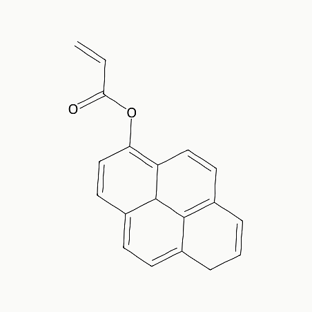 C=CC(=O)OC1=C2C=CC3=C4C(=CC=C(C=C1)C24)CC=C3